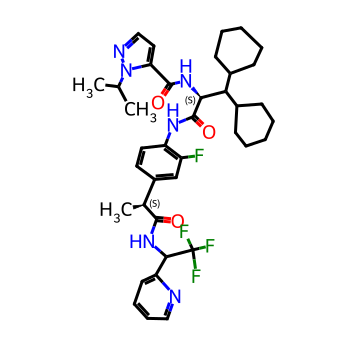 CC(C)n1nccc1C(=O)N[C@H](C(=O)Nc1ccc([C@H](C)C(=O)NC(c2ccccn2)C(F)(F)F)cc1F)C(C1CCCCC1)C1CCCCC1